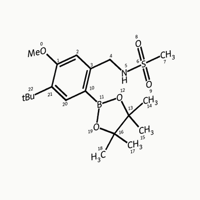 COc1cc(CNS(C)(=O)=O)c(B2OC(C)(C)C(C)(C)O2)cc1C(C)(C)C